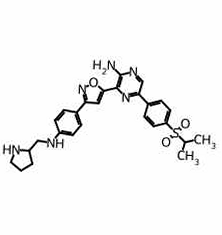 CC(C)S(=O)(=O)c1ccc(-c2cnc(N)c(-c3cc(-c4ccc(NCC5CCCN5)cc4)no3)n2)cc1